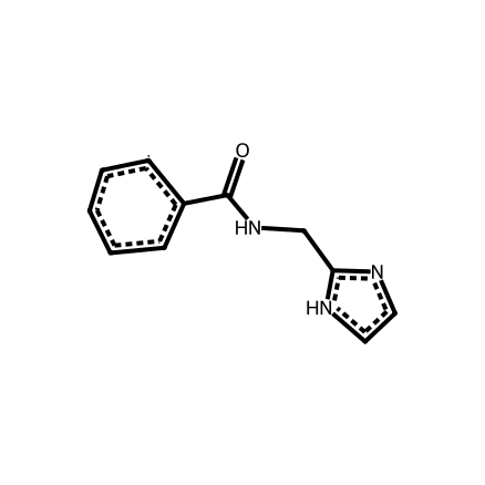 O=C(NCc1ncc[nH]1)c1[c]cccc1